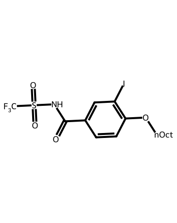 CCCCCCCCOc1ccc(C(=O)NS(=O)(=O)C(F)(F)F)cc1I